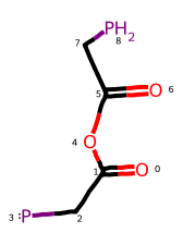 O=C(C[P])OC(=O)CP